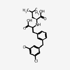 CC(C)C[C@H](NC(Cc1cccc(Cc2cc(Cl)cc(Cl)c2)c1)C(=O)O)C(=O)O